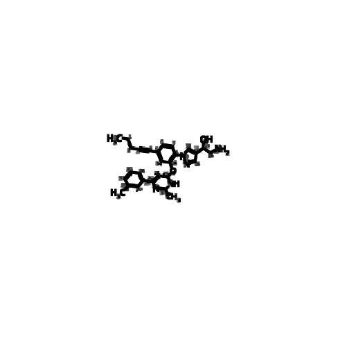 CCCC#Cc1ccc(-n2cc(C(O)CN)cn2)c(OC2C=C(c3cccc(C)c3)N=C(C)N2)c1